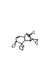 O=C1C2C=CC(C3C2C=CC(=O)C32CO2)C12CO2